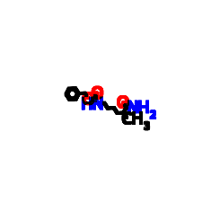 CC(CCCCNC(=O)OCc1ccccc1)C(N)=O